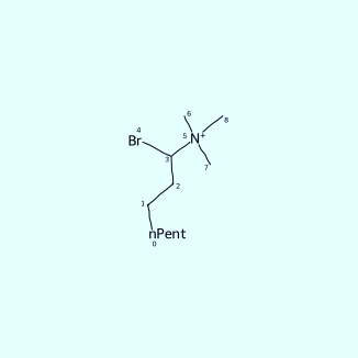 CCCCCCCC(Br)[N+](C)(C)C